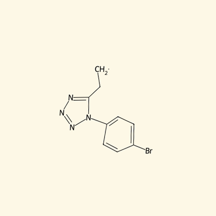 [CH2]Cc1nnnn1-c1ccc(Br)cc1